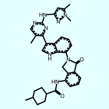 Cc1cnc(Nc2cc(C)n(C)n2)nc1-c1c[nH]c2c(N3Cc4c(NC(=O)C5CCC(C)CC5)cccc4C3=O)cccc12